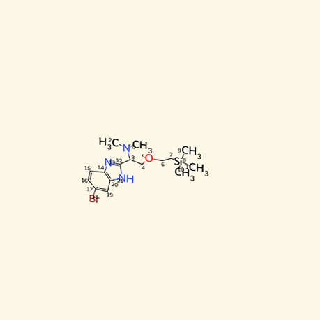 CN(C)C(COCC[Si](C)(C)C)c1nc2ccc(Br)cc2[nH]1